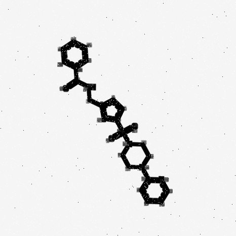 O=C(NCc1ccc(S(=O)(=O)N2CCN(c3ccccn3)CC2)s1)c1ccccc1